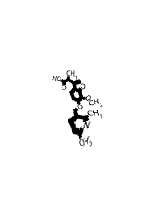 COc1c(OCc2ccc(C)nc2C)ccc2c(C(C)C(=O)O)coc12